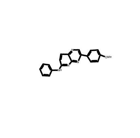 COc1ccc(-c2cnc3ccc(Nc4ccccc4)nc3n2)cc1